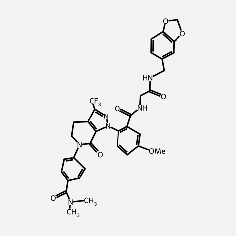 COc1ccc(-n2nc(C(F)(F)F)c3c2C(=O)N(c2ccc(C(=O)N(C)C)cc2)CC3)c(C(=O)NCC(=O)NCc2ccc3c(c2)OCO3)c1